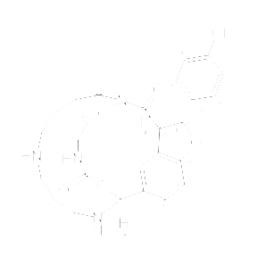 O=C1C[C@@H]2NCCCNCCCCN(CCCN1)C(=O)[C@@H]1c3cc2ccc3O[C@H]1c1ccc(O)cc1